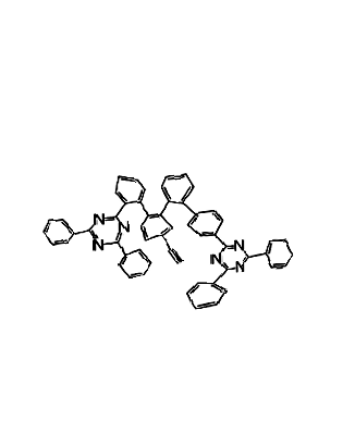 C#Cc1ccc(-c2ccccc2-c2nc(-c3ccccc3)nc(-c3ccccc3)n2)c(-c2ccccc2-c2ccc(-c3nc(C4=CCCC=C4)nc(-c4ccccc4)n3)cc2)c1